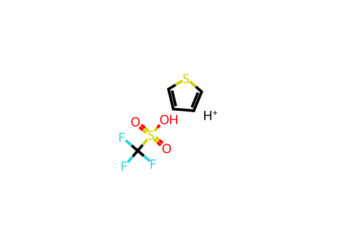 O=S(=O)(O)C(F)(F)F.[H+].c1ccsc1